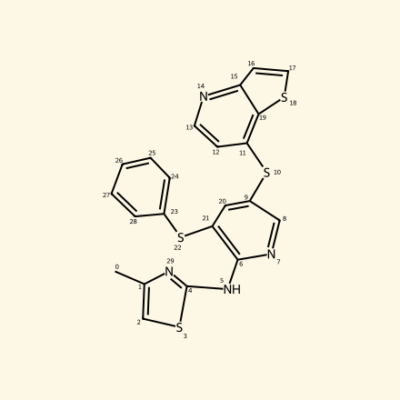 Cc1csc(Nc2ncc(Sc3ccnc4ccsc34)cc2Sc2ccccc2)n1